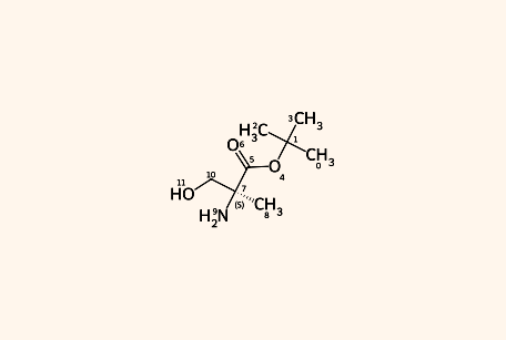 CC(C)(C)OC(=O)[C@@](C)(N)CO